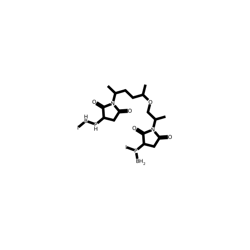 BP(I)C1CC(=O)N(C(C)COC(C)CCC(C)N2C(=O)CC(PBI)C2=O)C1=O